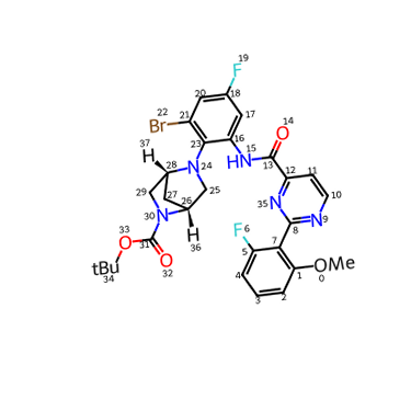 COc1cccc(F)c1-c1nccc(C(=O)Nc2cc(F)cc(Br)c2N2C[C@H]3C[C@@H]2CN3C(=O)OC(C)(C)C)n1